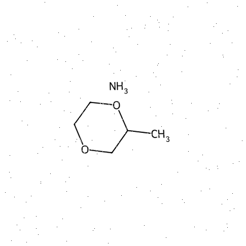 CC1COCCO1.N